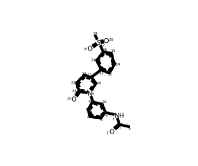 CC(=O)Nc1cccc(-n2cc(-c3cccc(S(C)(=O)=O)c3)ccc2=O)c1